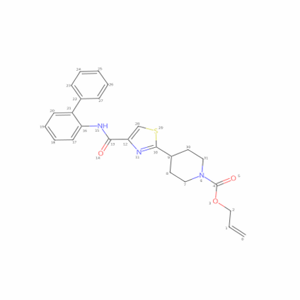 C=CCOC(=O)N1CCC(c2nc(C(=O)Nc3ccccc3-c3ccccc3)cs2)CC1